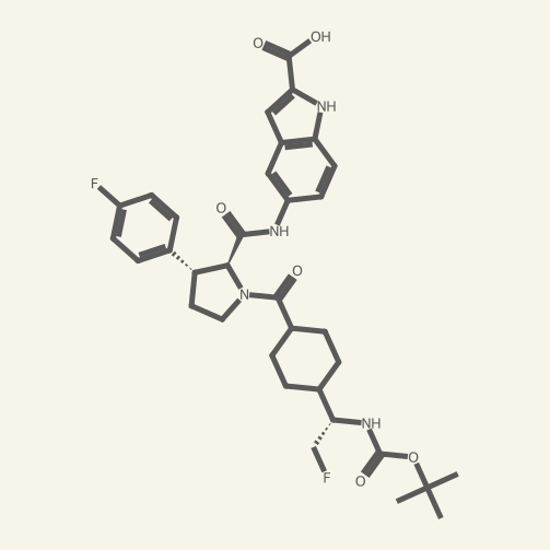 CC(C)(C)OC(=O)N[C@H](CF)C1CCC(C(=O)N2CC[C@H](c3ccc(F)cc3)[C@H]2C(=O)Nc2ccc3[nH]c(C(=O)O)cc3c2)CC1